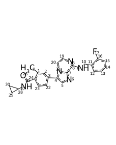 Cc1cc(-c2cnc3c(NCc4ccccc4F)nccn23)ccc1C(=O)NC1CC1